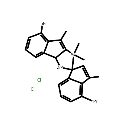 CC1=C[C]2([Zr+2][CH]3C(=C(C)c4c(C(C)C)cccc43)[Si]2(C)C)c2cccc(C(C)C)c21.[Cl-].[Cl-]